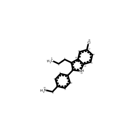 CCCc1c(-c2ccc(CN)cc2)[nH]c2ccc(Cl)cc12